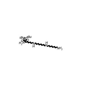 CC(C)(C)OC(=O)C(N)(CCCCCCNCCCCCCCCNCCCCCCCCN)C(=O)OC(C)(C)C